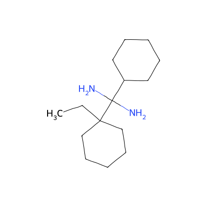 CCC1(C(N)(N)C2CCCCC2)CCCCC1